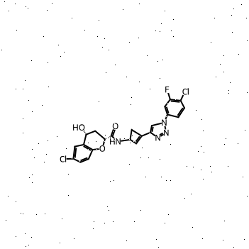 O=C(NC1C=C(c2cn(-c3ccc(Cl)c(F)c3)nn2)C1)[C@H]1C[C@@H](O)c2cc(Cl)ccc2O1